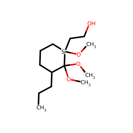 CCCC1CCC[Si](CCO)(OC)C1(OC)OC